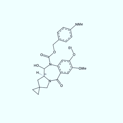 CCOc1cc2c(cc1OC)C(=O)N1CC3(CC3)C[C@H]1C(O)N2C(=O)OCc1ccc(NC)cc1